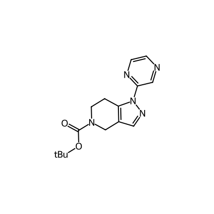 CC(C)(C)OC(=O)N1CCc2c(cnn2-c2cnccn2)C1